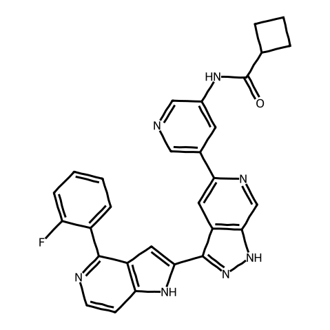 O=C(Nc1cncc(-c2cc3c(-c4cc5c(-c6ccccc6F)nccc5[nH]4)n[nH]c3cn2)c1)C1CCC1